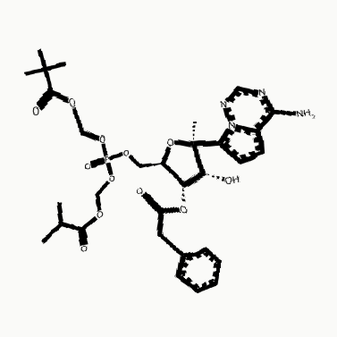 CC(C)C(=O)OCOP(=O)(OCOC(=O)C(C)(C)C)OC[C@H]1O[C@@](C)(c2ccc3c(N)ncnn23)[C@H](O)[C@@H]1OC(=O)Cc1ccccc1